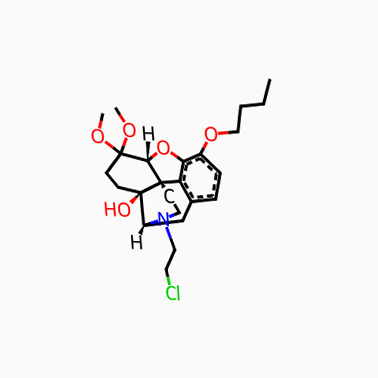 CCCCOc1ccc2c3c1O[C@H]1C(OC)(OC)CC[C@@]4(O)[C@@H](C2)N(CCCl)CC[C@]314